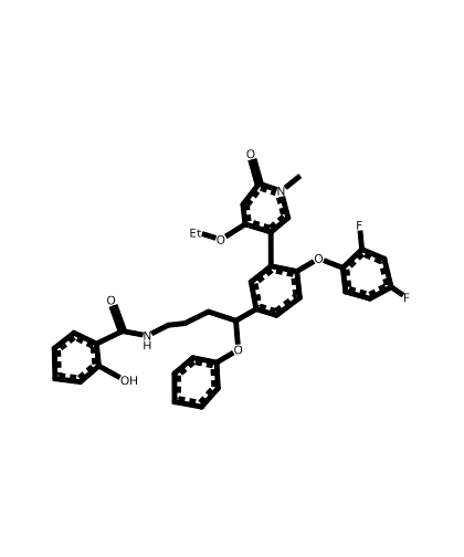 CCOc1cc(=O)n(C)cc1-c1cc(C(CCCNC(=O)c2ccccc2O)Oc2ccccc2)ccc1Oc1ccc(F)cc1F